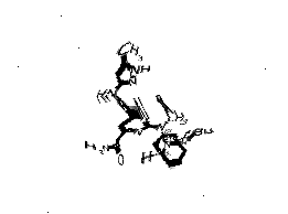 Cc1cc(Nc2cc(C(N)=O)nc(N(C)[C@H]3C[C@@H]4CCC[C@](C(C)(C)C)(C3)N4C(=O)O)n2)n[nH]1